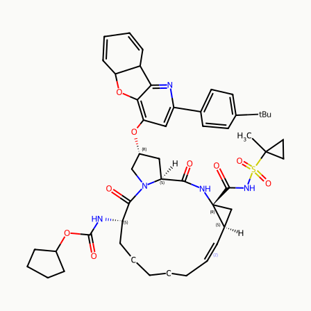 CC(C)(C)c1ccc(-c2cc(O[C@@H]3C[C@H]4C(=O)N[C@]5(C(=O)NS(=O)(=O)C6(C)CC6)C[C@H]5/C=C\CCCCC[C@H](NC(=O)OC5CCCC5)C(=O)N4C3)c3c(n2)C2C=CC=CC2O3)cc1